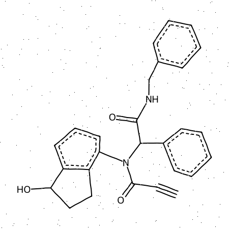 C#CC(=O)N(c1cccc2c1CCC2O)C(C(=O)NCc1ccccc1)c1ccccc1